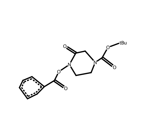 CC(C)(C)OC(=O)N1CCN(OC(=O)c2ccccc2)C(=O)C1